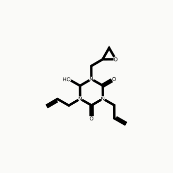 C=CCN1C(=O)N(CC=C)C(O)N(CC2CO2)C1=O